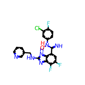 N=C(c1cc(F)c(F)c2nc(NCc3cccnc3)[nH]c12)N(O)c1ccc(F)c(Cl)c1